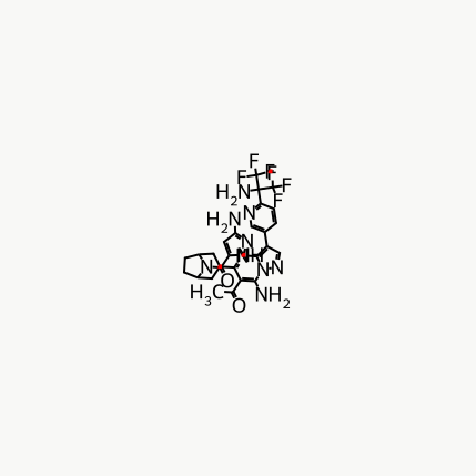 CC(=O)c1c(C2CC3CCC(C2)N3C(=O)c2cc(N)n[nH]2)nc2c(-c3ccc(C(N)(C(F)(F)F)C(F)(F)F)nc3)cnn2c1N